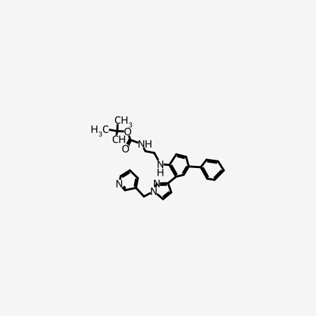 CC(C)(C)OC(=O)NCCNc1ccc(-c2ccccc2)cc1-c1ccn(Cc2cccnc2)n1